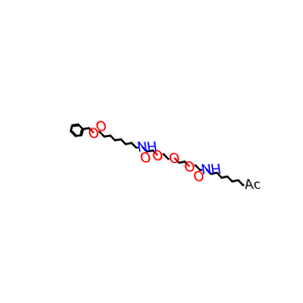 CC(=O)CCCCCCCNC(=O)COCCOCCOCC(=O)NCCCCCCCC(=O)OCc1ccccc1